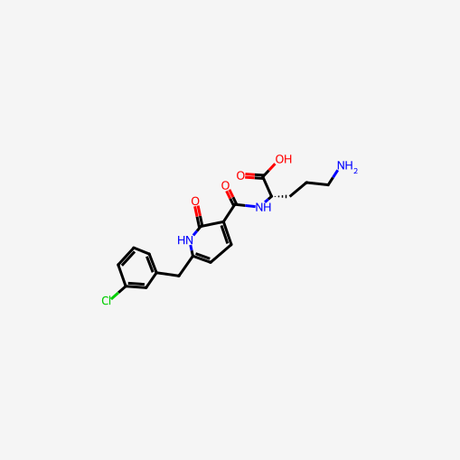 NCCC[C@H](NC(=O)c1ccc(Cc2cccc(Cl)c2)[nH]c1=O)C(=O)O